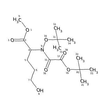 COC(=O)C(CCCO)N(OC(C)(C)C)C(=O)C(=O)OC(C)(C)C